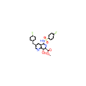 COC(=O)c1nc(NS(=O)(=O)c2ccc(F)cc2)c2cc(Cc3ccc(F)cc3)cnc2c1O